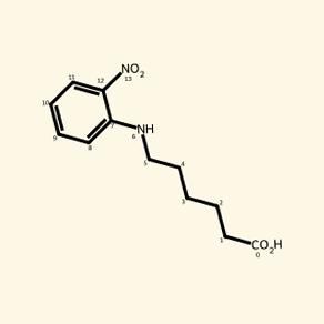 O=C(O)CCCCCNc1ccccc1[N+](=O)[O-]